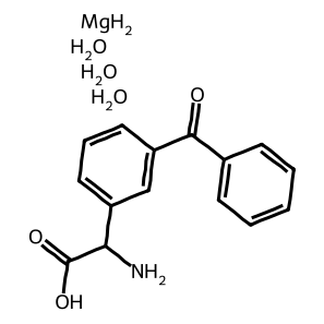 NC(C(=O)O)c1cccc(C(=O)c2ccccc2)c1.O.O.O.[MgH2]